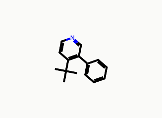 CC(C)(C)c1ccncc1-c1ccccc1